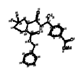 COC(=O)c1ccc([C@H](C)NC(=O)C2CC(F)(F)CCN2C(=O)OCc2ccccc2)cc1